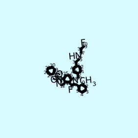 Cc1ccccc1-c1c(F)c2c3cnn(S(=O)(=O)c4ccccc4)c3ccc2n1Cc1ccc(CCNCCCF)cc1